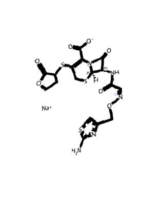 Nc1nc(CO/N=C\C(=O)N[C@@H]2C(=O)N3C(C(=O)[O-])=C(SC4CCOC4=O)CS[C@H]23)cs1.[Na+]